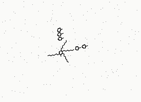 CCCCCCCc1cc(CCCCCCC)c(CCCCCCC)c(CCCCCCC)c1C.Cc1ccccc1.Cc1ccccc1.Cc1ccccc1.Cc1ccccc1.Cc1ccccc1